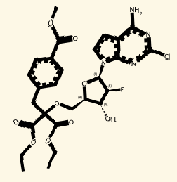 CCOC(=O)C(Cc1ccc(C(=O)OC)cc1)(OC[C@H]1O[C@@H](n2ccc3c(N)nc(Cl)nc32)[C@@H](F)[C@@H]1O)C(=O)OCC